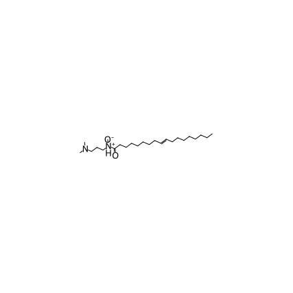 CCCCCCCCC=CCCCCCCCC(=O)[NH+]([O-])CCCN(C)C